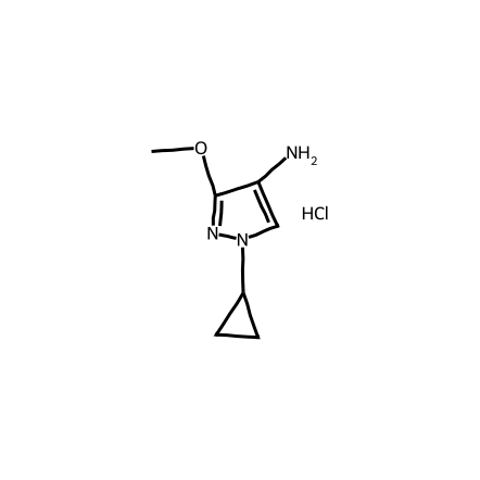 COc1nn(C2CC2)cc1N.Cl